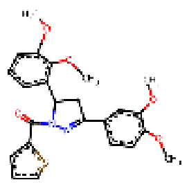 COc1ccc(C2=NN(C(=O)c3cccs3)C(c3cccc(OC)c3OC)C2)cc1OC